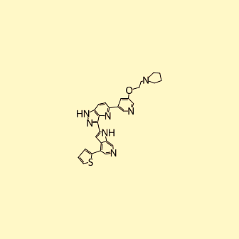 c1csc(-c2cncc3[nH]c(-c4n[nH]c5ccc(-c6cncc(OCCN7CCCC7)c6)nc45)cc23)c1